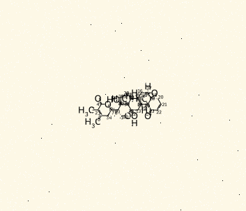 CC1=C(C)C(=O)O[C@@H]([C@H]2CO[C@@]3(O)C[C@H]4[C@@H](C[C@H]5O[C@]56CC=CC(=O)[C@]46C)[C@@H]4CC[C@]2(O)[C@]43C)C1